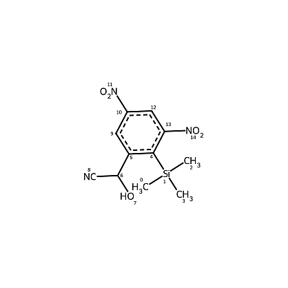 C[Si](C)(C)c1c(C(O)C#N)cc([N+](=O)[O-])cc1[N+](=O)[O-]